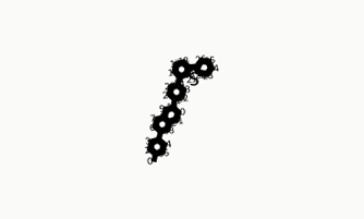 Cc1ccc(-c2ccc3cc(-c4ccc(-c5cccc6c5sc5ccccc56)cc4)ccc3c2)cc1